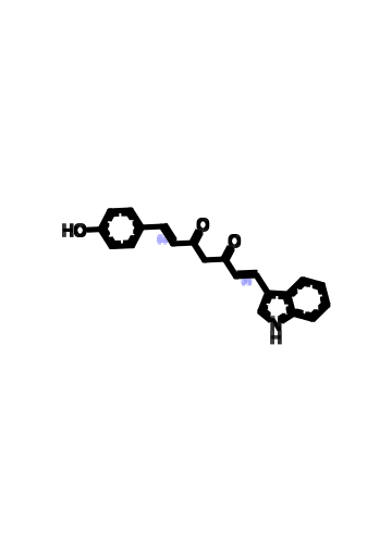 O=C(/C=C/c1ccc(O)cc1)CC(=O)/C=C/c1c[nH]c2ccccc12